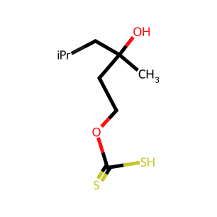 CC(C)CC(C)(O)CCOC(=S)S